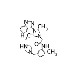 Cc1ccc(CN2CCNCC2)cc1NC(=O)CN1C[C@@H](C)N(c2ncnc3ccccc23)[C@@H](C)C1